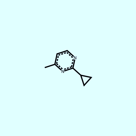 Cc1ccnc(C2CC2)n1